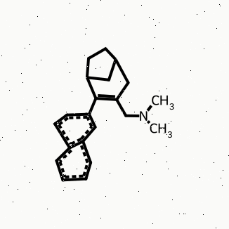 CN(C)CC1=C(c2ccc3ccccc3c2)C2CCC(C1)C2